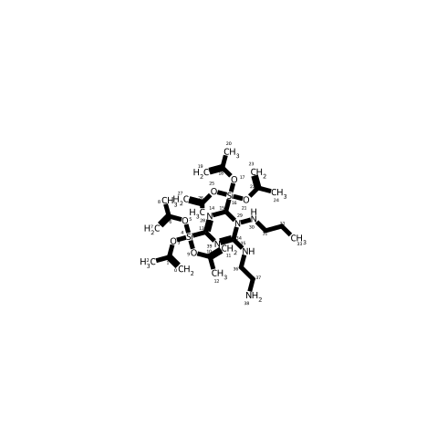 C=C(C)O[Si](OC(=C)C)(OC(=C)C)C1=NC([Si](OC(=C)C)(OC(=C)C)OC(=C)C)N(NCCC)C(NCCN)=N1